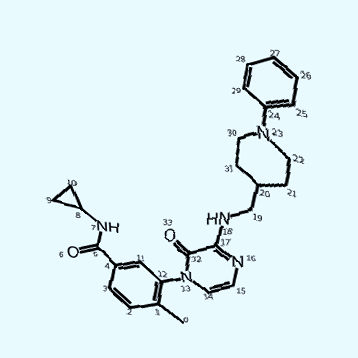 Cc1ccc(C(=O)NC2CC2)cc1-n1ccnc(NCC2CCN(c3ccccc3)CC2)c1=O